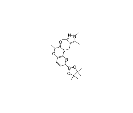 Cc1nn(C)c(C)c1CN1C(=O)C(C)Oc2ccc(B3OC(C)(C)C(C)(C)O3)nc21